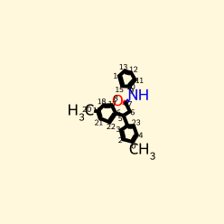 Cc1ccc(C(CC(=O)Nc2ccccc2)c2ccc(C)cc2)cc1